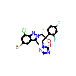 Cc1c2cc(Br)cc(Cl)c2nn1[C@H](C)[C@](O)(Cn1cncn1)c1ccc(F)cc1F